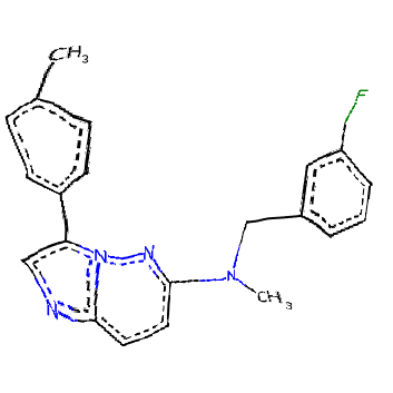 Cc1ccc(-c2cnc3ccc(N(C)Cc4cccc(F)c4)nn23)cc1